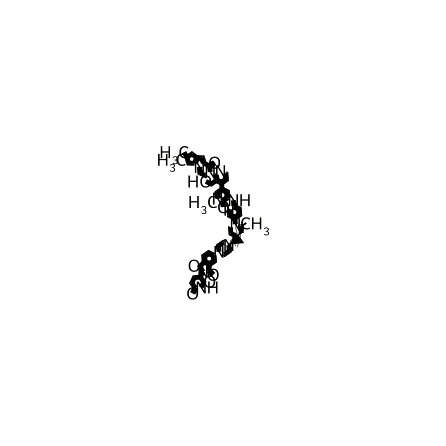 C[C@H]1C[C@@]2(CCN1c1ccc(Nc3cc(-c4ccnc(N5CCn6c(cc7c6CC(C)(C)C7)C5=O)c4CO)cn(C)c3=O)nc1)C[C@H]2N1CCN(c2ccc3c(c2)C(=O)N(C2CCC(=O)NC2=O)C3=O)CC1